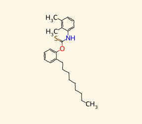 CCCCCCCCCc1ccccc1OC(=S)Nc1cccc(C)c1C